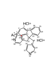 CC(=O)c1ccc2c(c1)C(Cc1ccncc1)(Cc1ccncc1)c1ccccc1-2.Cl.Cl